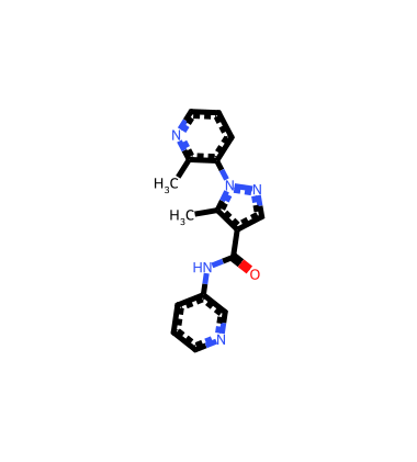 Cc1ncccc1-n1ncc(C(=O)Nc2cccnc2)c1C